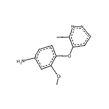 COc1cc(N)ccc1Oc1ccnnc1C